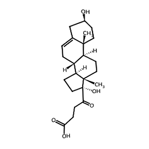 C[C@]12CC[C@H](O)CC1=CC[C@@H]1[C@@H]2CC[C@@]2(C)[C@H]1CC[C@]2(O)C(=O)CCC(=O)O